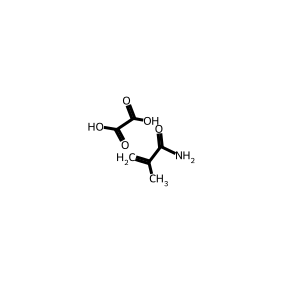 C=C(C)C(N)=O.O=C(O)C(=O)O